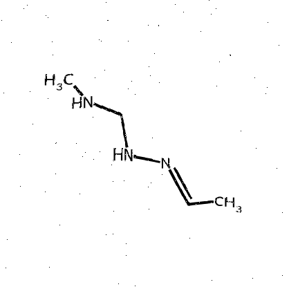 C/C=N/NCNC